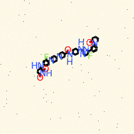 O=C1CCC(Nc2ccc(N3CCC(N4CCC(C(=O)N[C@H]5CC[C@H](Nc6ncc(F)c(-c7cccc(N8CCCCC8=O)c7)n6)CC5)CC4)CC3)c(F)c2)C(=O)N1